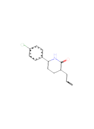 C=CCC1CCC(c2ccc(Cl)cc2)NC1=O